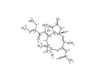 C=C1C(=O)O[C@@H]2/C=C(/C)[C@@H](OC(C)=O)C[C@H]3O[C@]3(C)C[C@@H](OC(=O)/C(=C/C)CO)[C@@H]12